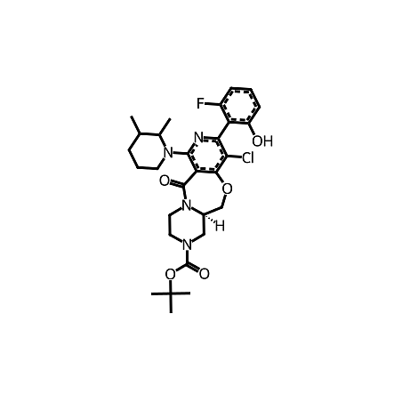 CC1CCCN(c2nc(-c3c(O)cccc3F)c(Cl)c3c2C(=O)N2CCN(C(=O)OC(C)(C)C)C[C@@H]2CO3)C1C